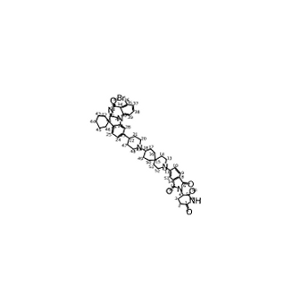 O=C1CCC(N2C(=O)c3ccc(N4CCC5(CCC(N6CCC(c7ccc8c(c7)-n7c(nc(=O)c9c(Br)cccc97)C87CCCCC7)CC6)CC5)CC4)cc3C2=O)C(=O)N1